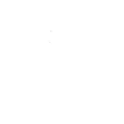 COc1ccc(C(O)(C(=O)OCn2ccnc2)C2CCCC2)cc1